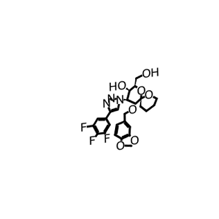 OC[C@H]1O[C@@]2(CCCCO2)[C@H](OCc2ccc3c(c2)OCO3)[C@@H](n2cc(-c3cc(F)c(F)c(F)c3)nn2)[C@H]1O